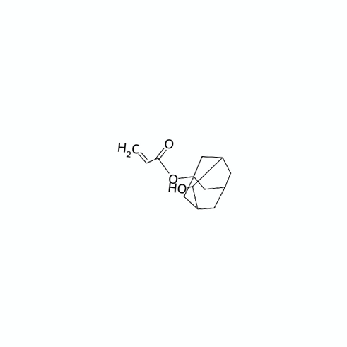 C=CC(=O)OC12CC3CC(C1)C(O)C(C3)C2